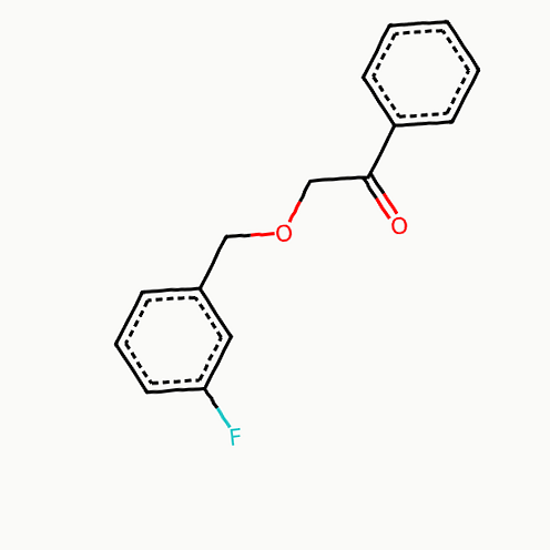 O=C(COCc1cccc(F)c1)c1ccccc1